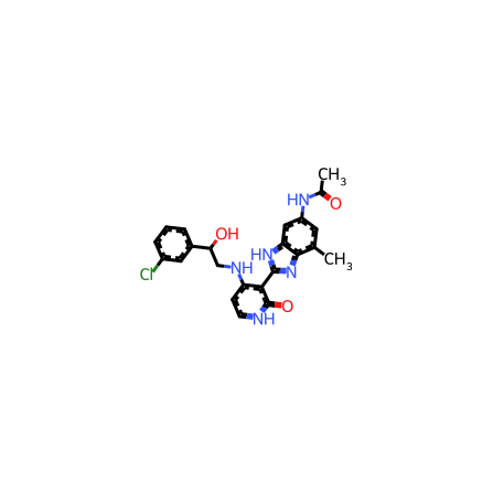 CC(=O)Nc1cc(C)c2nc(-c3c(NCC(O)c4cccc(Cl)c4)cc[nH]c3=O)[nH]c2c1